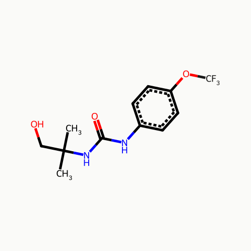 CC(C)(CO)NC(=O)Nc1ccc(OC(F)(F)F)cc1